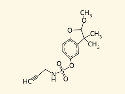 C#CCNS(=O)(=O)Oc1ccc2c(c1)C(C)(C)C(OC)O2